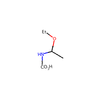 CCOC(C)NC(=O)O